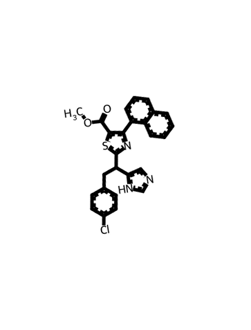 COC(=O)c1sc(C(Cc2ccc(Cl)cc2)c2cnc[nH]2)nc1-c1cccc2ccccc12